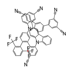 N#Cc1cc(C#N)cc(-c2ccc3c(c2)c2ccccc2n3-c2ccc(-c3c(C(F)(F)F)cccc3C(F)(F)F)c(-c3cc(C#N)ccc3-n3c4ccccc4c4cc(-c5cc(C#N)cc(C#N)c5)ccc43)c2)c1